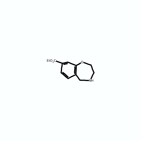 CCOC(=O)c1ccc2c(c1)OCCNC2